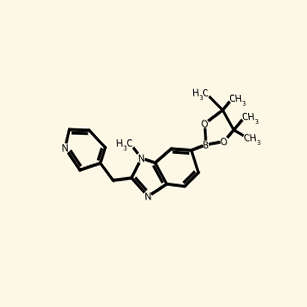 Cn1c(Cc2cccnc2)nc2ccc(B3OC(C)(C)C(C)(C)O3)cc21